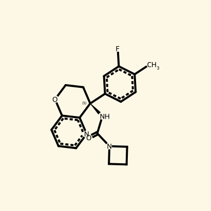 Cc1ccc([C@@]2(NC(=O)N3CCC3)CCOc3cccnc32)cc1F